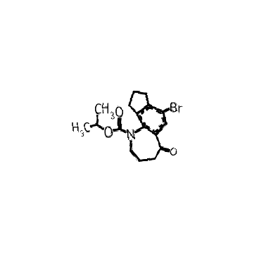 CC(C)OC(=O)N1CCCC(=O)c2cc(Br)c3c(c21)CCC3